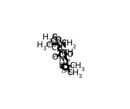 C=NC(/C=c1\[nH]c(=O)/c(=C/c2cccc(C)c2C)[nH]c1=O)=C(\OC)C(C)(C)C